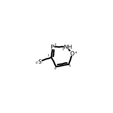 [S]C1=PNOC=C1